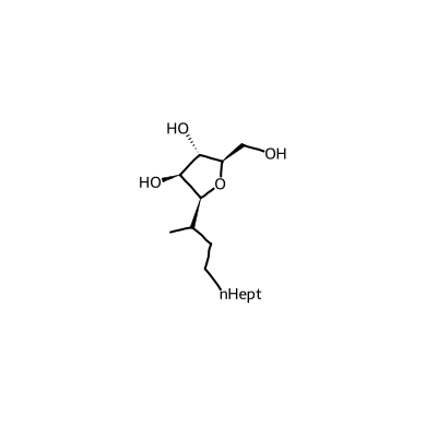 CCCCCCCCCC(C)[C@@H]1O[C@H](CO)[C@@H](O)[C@@H]1O